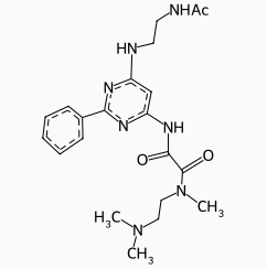 CC(=O)NCCNc1cc(NC(=O)C(=O)N(C)CCN(C)C)nc(-c2ccccc2)n1